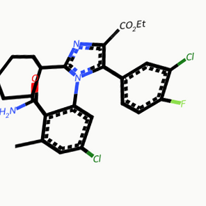 CCOC(=O)c1nc(C2CCCCC2)n(-c2cc(Cl)cc(C)c2C(N)=O)c1-c1ccc(F)c(Cl)c1